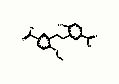 CCOc1ccc(C(=O)O)cc1CCc1cc(C(=O)O)ccc1O